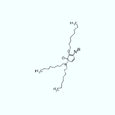 CCCCCCCCOc1c([N+]#N)ccc(N(CCCCCCCC)CCCCCCCC)c1Cl